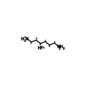 F.NCCCCCCN